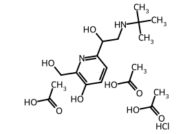 CC(=O)O.CC(=O)O.CC(=O)O.CC(C)(C)NCC(O)c1ccc(O)c(CO)n1.Cl